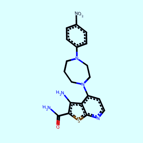 NC(=O)c1sc2nccc(N3CCCN(c4ccc([N+](=O)[O-])cc4)CC3)c2c1N